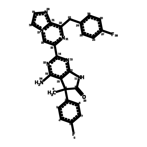 CC1(c2ccc(F)cc2)C(=O)Nc2nc(-c3cn4ccnc4c(Cc4ccc(F)cc4)n3)nc(N)c21